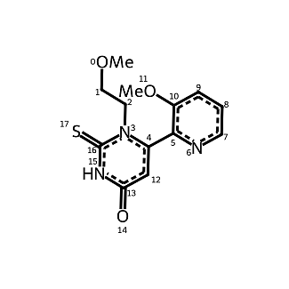 COCCn1c(-c2ncccc2OC)cc(=O)[nH]c1=S